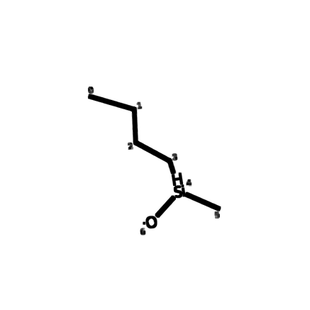 CCCC[SiH](C)[O]